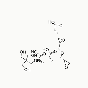 C(OCC1CO1)C1CO1.C=CC(=O)O.C=CC(=O)O.C=CC(=O)O.OCC(CO)(CO)CO